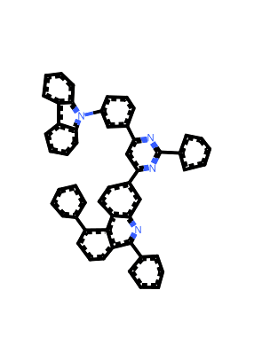 c1ccc(-c2nc(-c3cccc(-n4c5ccccc5c5ccccc54)c3)cc(-c3ccc4c(c3)nc(-c3ccccc3)c3cccc(-c5ccccc5)c34)n2)cc1